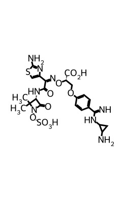 CC1(C)[C@H](NC(=O)/C(=N\O[C@@H](COc2ccc(C(=N)NC3CC3N)cc2)C(=O)O)c2csc(N)n2)C(=O)N1OS(=O)(=O)O